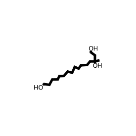 CC(O)(CCO)CCCCCCCCCCCCCO